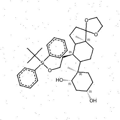 CC(C)(C)[Si](OCC[C@H]1C2CCC3(OCCO3)[C@@]2(C)CCC1[C@@]1(C)CC[C@H](O)C[C@@H]1O)(c1ccccc1)c1ccccc1